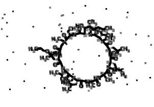 C=CCOC(C)(C)C[C@H]1C(=O)N[C@@H](C(C)C)C(=O)N(C)[C@@H](CC(C)C)C(=O)N[C@@H](C)C(=O)N[C@H](C)C(=O)N(C)[C@@H](CC(C)C)C(=O)N(C)[C@@H](CC(C)C)C(=O)N(C)[C@@H](C(C)C)C(=O)N(C)[C@@H]([C@H](O)[C@H](C)CCCC)C(=O)N[C@@H](CC)C(=O)N(C)CC(=O)N1C